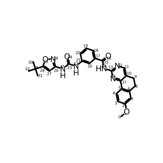 COc1ccc2c(c1)CCc1cnc(NC(=O)c3cccc(NC(=O)Nc4cc(C(C)(C)C)on4)c3)nc1-2